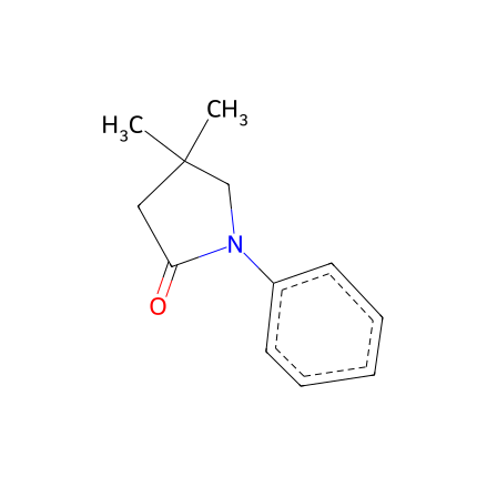 CC1(C)CC(=O)N(c2ccccc2)C1